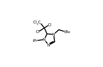 CC(C)N1N=CN(CC(C)(C)C)C1C(Cl)(Cl)C(Cl)(Cl)Cl